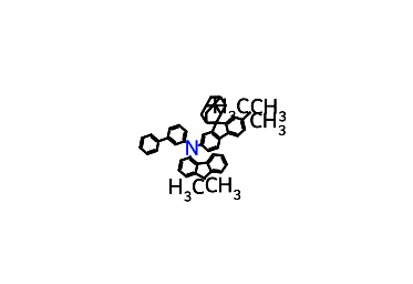 CC(C)(C)c1ccc2c(c1)C1(c3cc(N(c4cccc(-c5ccccc5)c4)c4cccc5c4-c4ccccc4C5(C)C)ccc3-2)C2CC3CC(C2)CC1C3